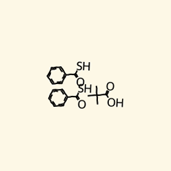 CC(C)(C)C(=O)O.O=C(S)c1ccccc1.O=C(S)c1ccccc1